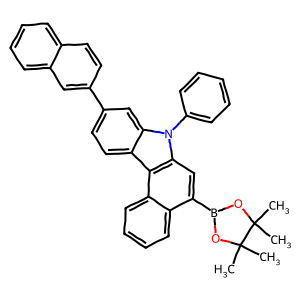 CC1(C)OB(c2cc3c(c4ccccc24)c2ccc(-c4ccc5ccccc5c4)cc2n3-c2ccccc2)OC1(C)C